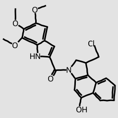 COc1cc2cc(C(=O)N3CC(CCl)c4c3cc(O)c3ccccc43)[nH]c2c(OC)c1OC